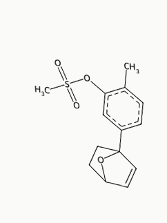 Cc1ccc(C23C=CC(CC2)O3)cc1OS(C)(=O)=O